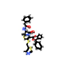 Cc1ncsc1CSC1=C(C(=O)OC(c2ccccc2)c2ccccc2)N2C(=O)C(NC(=O)Cc3ccccc3)[C@H]2SC1